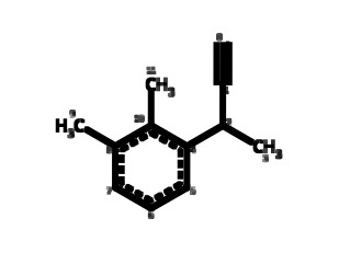 [C]#CC(C)c1cccc(C)c1C